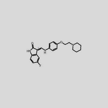 O=C1Nc2ccc(F)cc2/C1=C\Nc1ccc(OCCN2CCCCC2)cc1